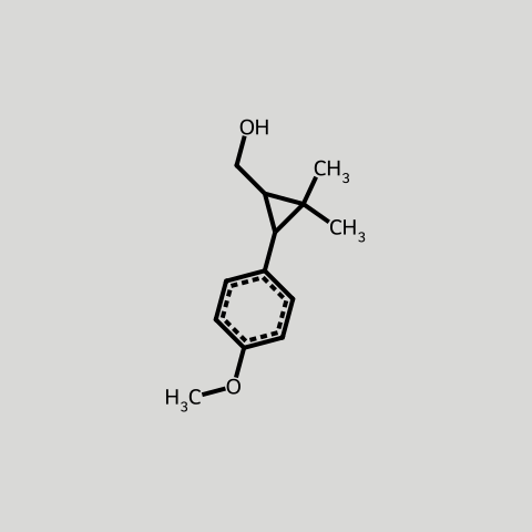 COc1ccc(C2C(CO)C2(C)C)cc1